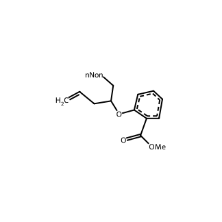 C=CCC(CCCCCCCCCC)Oc1ccccc1C(=O)OC